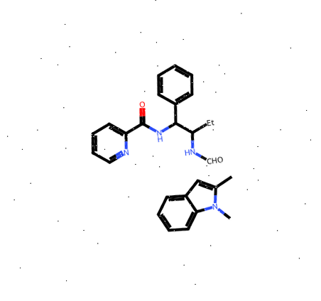 CCC(NC=O)C(NC(=O)c1ccccn1)c1ccccc1.Cc1cc2ccccc2n1C